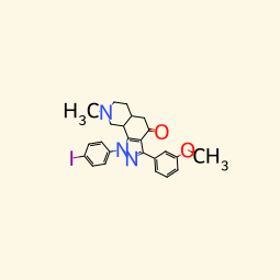 COc1cccc(-c2nn(-c3ccc(I)cc3)c3c2C(=O)CC2CCN(C)CC32)c1